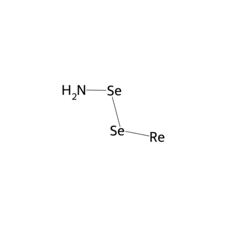 N[Se][Se][Re]